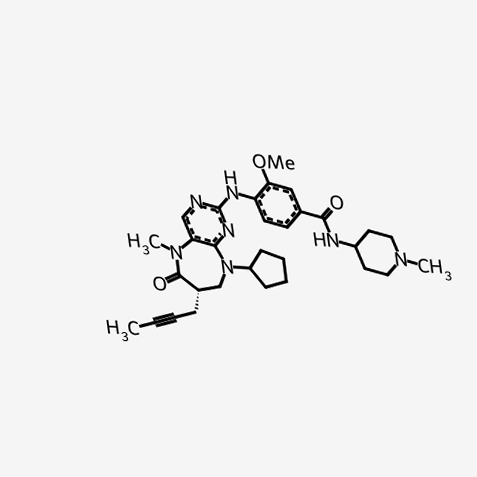 CC#CC[C@H]1CN(C2CCCC2)c2nc(Nc3ccc(C(=O)NC4CCN(C)CC4)cc3OC)ncc2N(C)C1=O